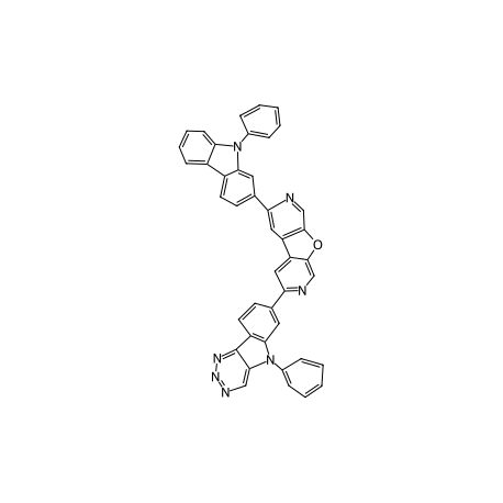 c1ccc(-n2c3ccccc3c3ccc(-c4cc5c(cn4)oc4cnc(-c6ccc7c8nnncc8n(-c8ccccc8)c7c6)cc45)cc32)cc1